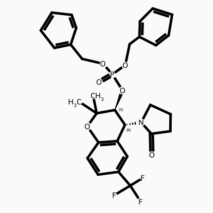 CC1(C)Oc2ccc(C(F)(F)F)cc2[C@@H](N2CCCC2=O)[C@@H]1OP(=O)(OCc1ccccc1)OCc1ccccc1